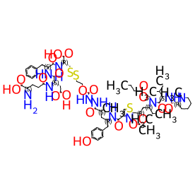 CCCC(=O)OCN(C(=O)[C@@H](NC(=O)[C@H]1CCCCN1C)C(C)CC)[C@H](C[C@@H](OC(C)=O)c1nc(C(=O)N[C@@H](Cc2ccc(O)cc2)C[C@H](C)C(=O)NNC(=O)OCCSSC[C@H](NC(=O)[C@H](Cc2ccccc2)NC(=O)[C@H](CC(=O)O)NC(=O)CC[C@H](N)C(=O)O)C(=O)O)cs1)C(C)C